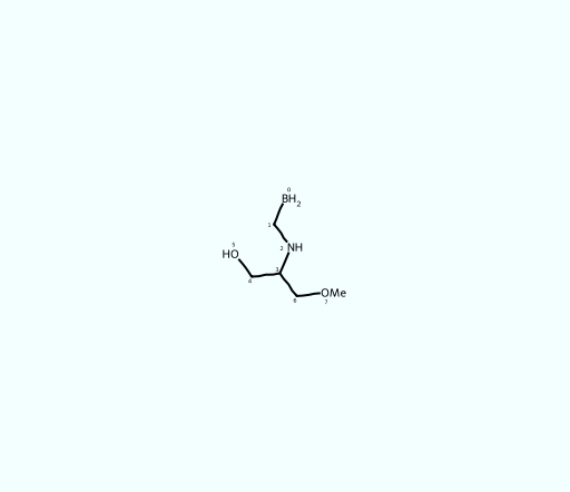 BCNC(CO)COC